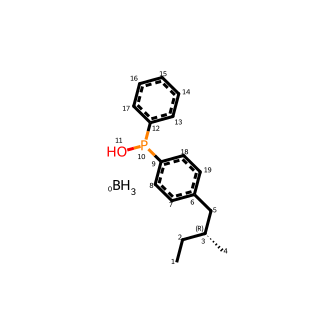 B.CC[C@@H](C)Cc1ccc(P(O)c2ccccc2)cc1